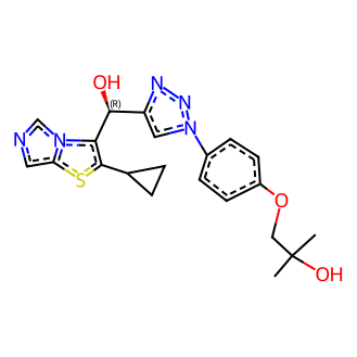 CC(C)(O)COc1ccc(-n2cc([C@H](O)c3c(C4CC4)sc4cncn34)nn2)cc1